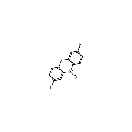 [O-][S+]1c2ccc(F)cc2Cc2ccc(F)cc21